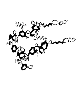 COc1cc2c(Oc3ccc(NC(=O)C4(C(=O)Nc5cccc(Cl)c5)CC4)cc3F)ccnc2cc1OCCCCCC(=O)[O-].COc1cc2c(Oc3ccc(NC(=O)C4(C(=O)Nc5cccc(Cl)c5)CC4)cc3F)ccnc2cc1OCCCCCC(=O)[O-].[Mg+2]